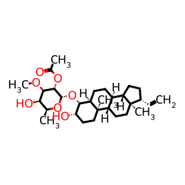 C=C[C@H]1CC[C@H]2[C@@H]3CC[C@@H]4[C@@H](O[C@@H]5O[C@@H](C)[C@@H](O)[C@@H](OC)[C@@H]5OC(C)=O)[C@@H](O)CC[C@]4(C)[C@H]3CC[C@]12C